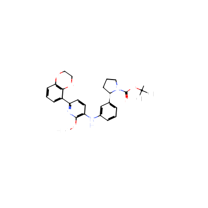 COc1nc(-c2cccc3c2OCCO3)ccc1Nc1cccc([C@H]2CCCN2C(=O)OC(C)(C)C)c1